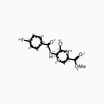 COC(=O)c1cnc(NC(=O)c2ccc(F)cc2)c(Cl)n1